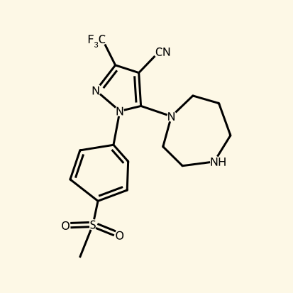 CS(=O)(=O)c1ccc(-n2nc(C(F)(F)F)c(C#N)c2N2CCCNCC2)cc1